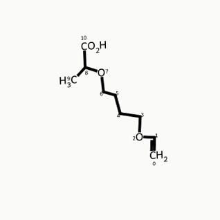 C=COCCCCOC(C)C(=O)O